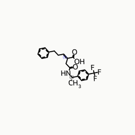 C[C@H](NC(=O)C/C(=C\CCc1ccccc1)C(=O)O)c1ccc(C(F)(F)F)cc1